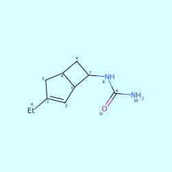 CCC1=CC2C(C1)CC2NC(N)=O